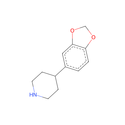 c1cc2c(cc1C1CCNCC1)OCO2